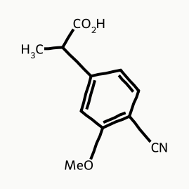 COc1cc(C(C)C(=O)O)ccc1C#N